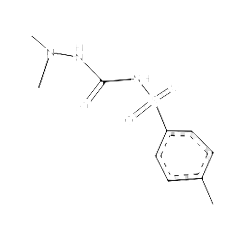 Cc1ccc(S(=O)(=O)NC(=O)NN(C)C)cc1